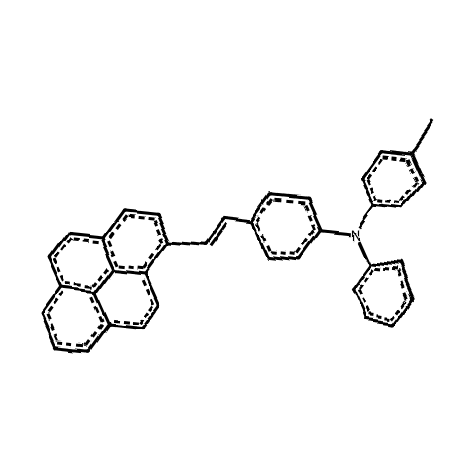 Cc1ccc(N(c2ccccc2)c2ccc(C=Cc3ccc4ccc5cccc6ccc3c4c56)cc2)cc1